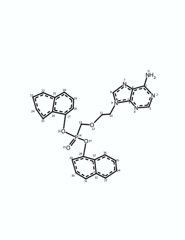 Nc1ncnc2c1ncn2CCOCP(=O)(Oc1cccc2ccccc12)Oc1cccc2ccccc12